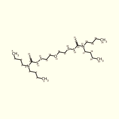 CCCCN(CCCC)C(=S)SSCCOCCSSC(=S)N(CCCC)CCCC